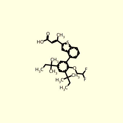 CCC(C)(C)c1cc(-c2cccc3sc(C(C)=CC(=O)O)cc23)c(OCC(F)F)c(C(C)(C)CC)c1